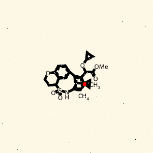 C.COC(=O)C(OC1CC1)c1c(C)cc2c(C3CC3)c1-c1ccc3c(c1)C(CCO3)S(=O)(=O)N2